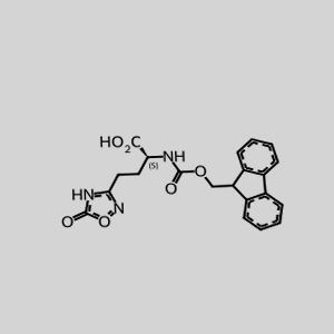 O=C(N[C@@H](CCc1noc(=O)[nH]1)C(=O)O)OCC1c2ccccc2-c2ccccc21